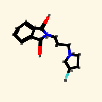 O=C1c2ccccc2C(=O)N1CCCN1CCC(F)C1